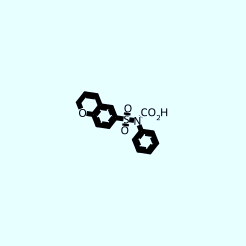 O=C(O)N(c1ccccc1)S(=O)(=O)c1ccc2c(c1)C=CCO2